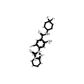 O=C(NC1CCC(F)(F)CC1)c1cc(F)c(-n2nc3n(c2=O)CCCC3)cc1O